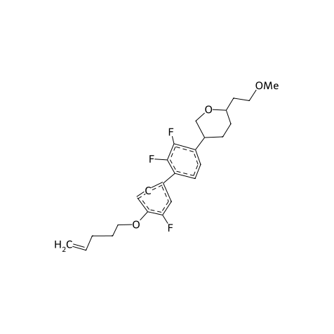 C=CCCCOc1ccc(-c2ccc(C3CCC(CCOC)OC3)c(F)c2F)cc1F